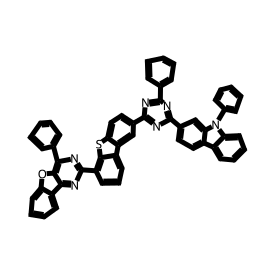 c1ccc(-c2nc(-c3ccc4sc5c(-c6nc(-c7ccccc7)c7oc8ccccc8c7n6)cccc5c4c3)nc(-c3ccc4c5ccccc5n(-c5ccccc5)c4c3)n2)cc1